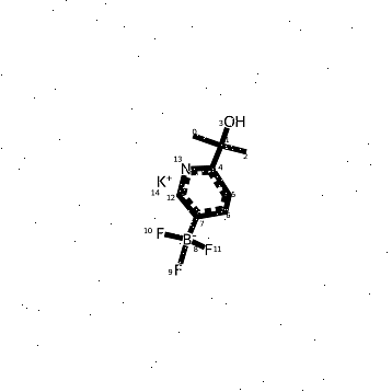 CC(C)(O)c1ccc([B-](F)(F)F)cn1.[K+]